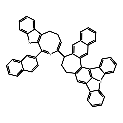 C1=C(C2CCc3cc4c5ccccc5n5c6ccccc6c(c3-c3cc6ccccc6cc32)c45)\N=C(\c2ccc3ccccc3c2)c2sc3ccccc3c2CC/1